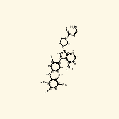 B/C=C\C(=O)N1CC[C@@H](n2nc(-c3ccc(Oc4c(F)c(F)cc(F)c4F)cc3F)c3c(N)ncnc32)C1